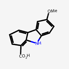 COc1ccc2[nH]c3c(C(=O)O)cccc3c2c1